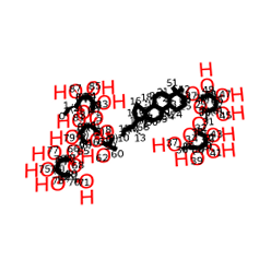 CC[C@@H]1O[C@H](O[C@H]2[C@H](O[C@H](CC[C@@H](C)C3CC[C@@]4(C)C5CC=C6C(CC[C@H](O[C@@H]7O[C@H](CO[C@@H]8O[C@H](CO)[C@@H](O)[C@H](O)[C@H]8O)[C@@H](O)[C@H](O)[C@H]7O)C6(C)C)[C@]5(C)CC[C@]34C)C(C)(C)O)O[C@H](CO[C@@H]3O[C@H](CO)[C@@H](O)[C@H](O)[C@H]3O)[C@@H](O)[C@@H]2O)[C@@H](O)[C@H](O)[C@H]1O